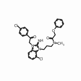 CN(CCCn1c(=N)n(CC(=O)c2ccc(Cl)cc2)c2cccc(Cl)c21)C(=O)COc1ccccc1